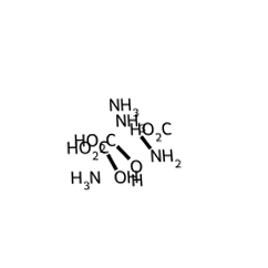 N.N.N.NC(=O)O.O=C(O)O.O=C(O)O